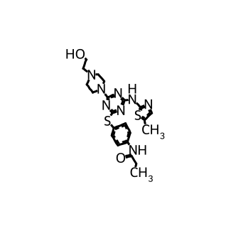 CCC(=O)Nc1ccc(Sc2nc(Nc3ncc(C)s3)nc(N3CCN(CCO)CC3)n2)cc1